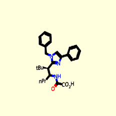 CCCC(NC(=O)C(=O)O)[C@H](c1nc(-c2ccccc2)cn1Cc1ccccc1)C(C)(C)C